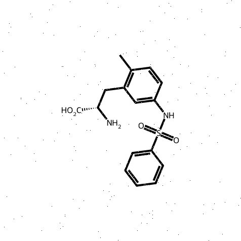 Cc1ccc(NS(=O)(=O)c2ccccc2)cc1C[C@H](N)C(=O)O